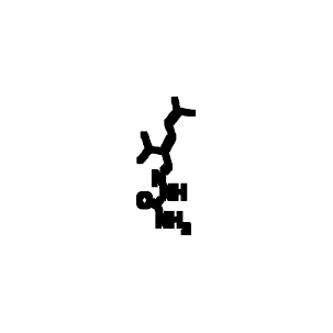 CC(C)=C/C=C(/C=N/NC(N)=O)C(C)C